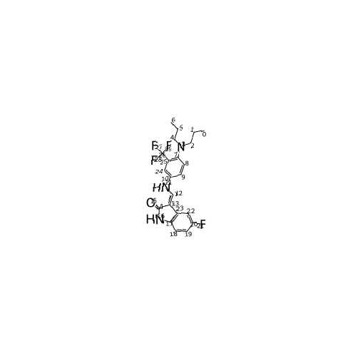 CCCN(CCC)c1ccc(NC=C2C(=O)Nc3ccc(F)cc32)cc1C(F)(F)F